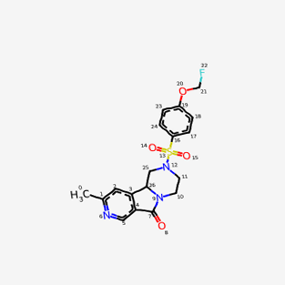 Cc1cc2c(cn1)C(=O)N1CCN(S(=O)(=O)c3ccc(OCF)cc3)CC21